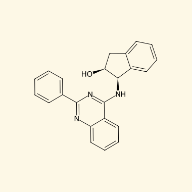 O[C@H]1Cc2ccccc2[C@H]1Nc1nc(-c2ccccc2)nc2ccccc12